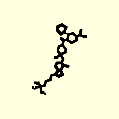 C[Si](C)(C)CCOCn1ccc2c(=O)n(CC3(O)CCN(C(=O)[C@@H]4CCN(C(=O)O)C[C@H]4c4ccccc4)CC3)cnc21